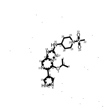 CC(C)Oc1c(-c2cn[nH]c2)ncc2nc(NC3CCN(S(C)(=O)=O)CC3)nn12